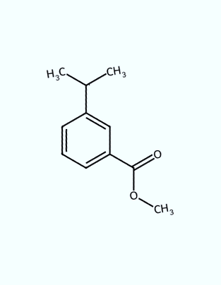 COC(=O)c1cccc([C](C)C)c1